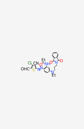 CCC(=O)Nc1cc(N(CC)CCCN2C(=O)c3ccccc3C2=O)ccc1/N=N/c1sc(C=O)c(Cl)c1C#N